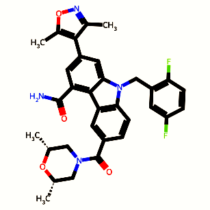 Cc1noc(C)c1-c1cc(C(N)=O)c2c3cc(C(=O)N4C[C@@H](C)O[C@@H](C)C4)ccc3n(Cc3cc(F)ccc3F)c2c1